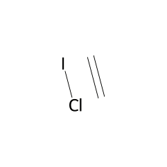 C=C.ClI